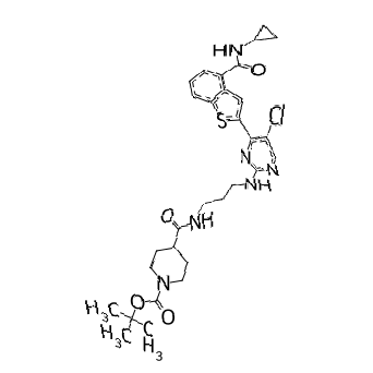 CC(C)(C)OC(=O)N1CCC(C(=O)NCCCNc2ncc(Cl)c(-c3cc4c(C(=O)NC5CC5)cccc4s3)n2)CC1